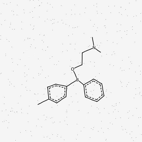 Cc1ccc(B(OCCN(C)C)c2ccccc2)cc1